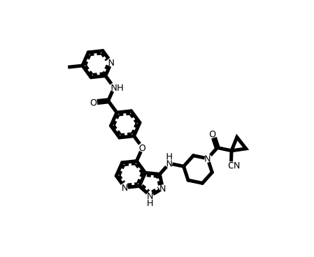 Cc1ccnc(NC(=O)c2ccc(Oc3ccnc4[nH]nc(NC5CCCN(C(=O)C6(C#N)CC6)C5)c34)cc2)c1